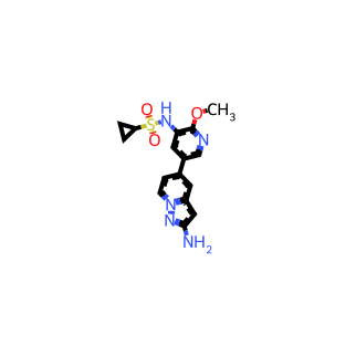 COc1ncc(-c2ccn3nc(N)cc3c2)cc1NS(=O)(=O)C1CC1